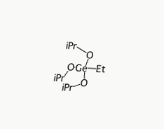 [CH2][CH2][Ge]([O]C(C)C)([O]C(C)C)[O]C(C)C